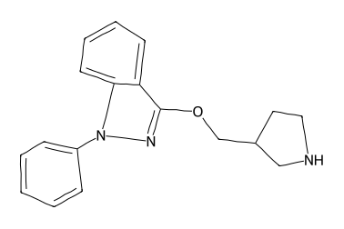 c1ccc(-n2nc(OCC3CCNC3)c3ccccc32)cc1